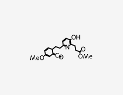 COC(=O)CCc1nc(CCC2C=CC(OC)=CC2=C=O)ccc1O